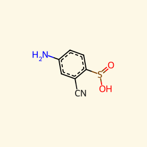 N#Cc1cc(N)ccc1S(=O)O